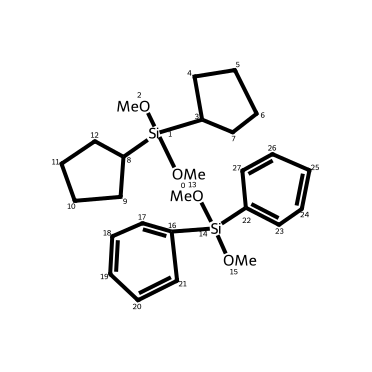 CO[Si](OC)(C1CCCC1)C1CCCC1.CO[Si](OC)(c1ccccc1)c1ccccc1